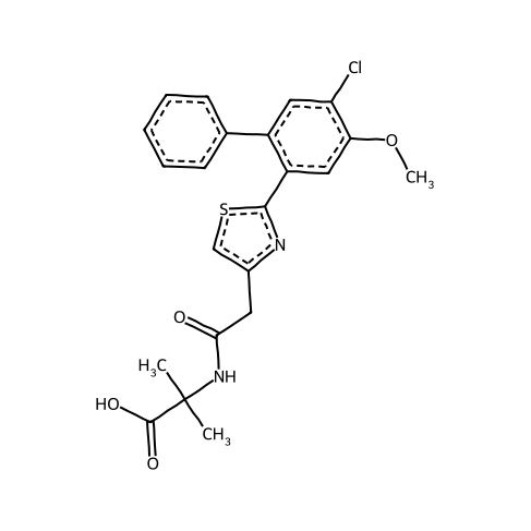 COc1cc(-c2nc(CC(=O)NC(C)(C)C(=O)O)cs2)c(-c2ccccc2)cc1Cl